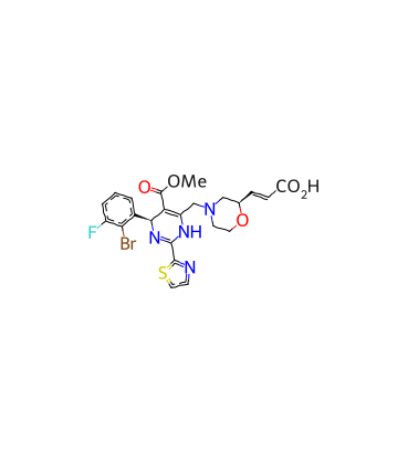 COC(=O)C1=C(CN2CCO[C@H](/C=C/C(=O)O)C2)NC(c2nccs2)=N[C@H]1c1cccc(F)c1Br